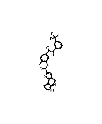 Cc1ccc(C(=O)Nc2cccc(C(F)(F)F)c2)cc1NC(=O)c1cc2cnc3[nH]ccc3c2s1